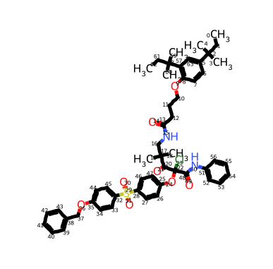 CCC(C)(C)c1ccc(OCCCC(=O)NCC(C)(C)C(=O)C(Cl)(Oc2ccc(S(=O)(=O)c3ccc(OCc4ccccc4)cc3)cc2)C(=O)Nc2ccccc2)c(C(C)(C)CC)c1